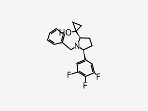 OC1([C@H]2CC[C@@H](c3cc(F)c(F)c(F)c3)N2Cc2ccccc2)CC1